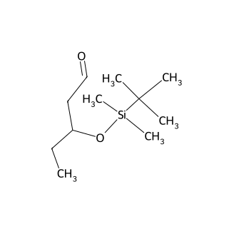 CCC(CC=O)O[Si](C)(C)C(C)(C)C